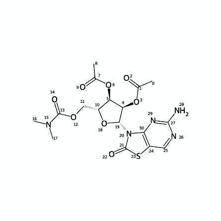 CC(=O)O[C@@H]1[C@H](OC(C)=O)[C@@H](COC(=O)N(C)C)O[C@H]1n1c(=O)sc2cnc(N)nc21